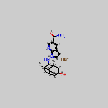 Br.NC(=O)c1cnc2c(ccn2NC2[C@@H]3CC4C[C@H]2CC(O)(C4)C3)c1